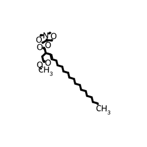 CCCCCCCCCCCCCCCC/C=C/C(CC(=O)OC)C(=O)OC12COCN1COC2